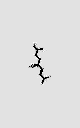 CC(C)/C=C/C(=O)CCC(C)C